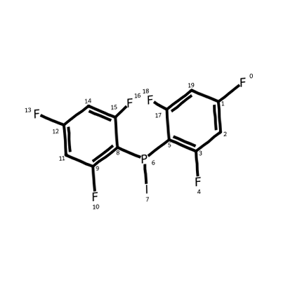 Fc1cc(F)c(P(I)c2c(F)cc(F)cc2F)c(F)c1